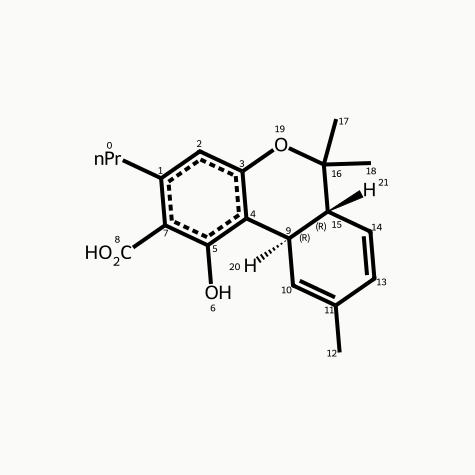 CCCc1cc2c(c(O)c1C(=O)O)[C@@H]1C=C(C)C=C[C@H]1C(C)(C)O2